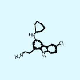 NCCc1cc(NC2CCCCC2)cc2c1[nH]c1ccc(Cl)cc12